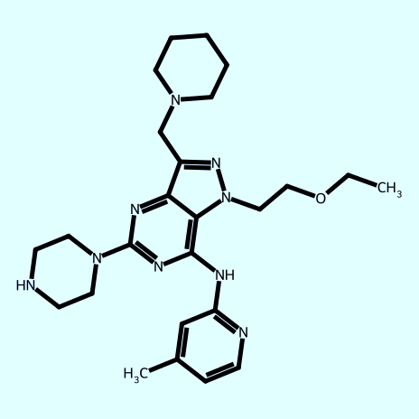 CCOCCn1nc(CN2CCCCC2)c2nc(N3CCNCC3)nc(Nc3cc(C)ccn3)c21